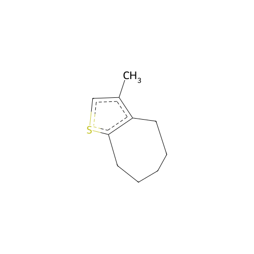 Cc1csc2c1CCCCC2